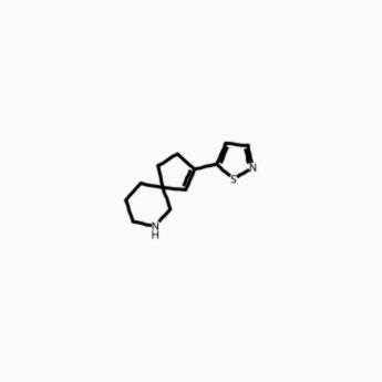 C1=C(c2ccns2)CCC12CCCNC2